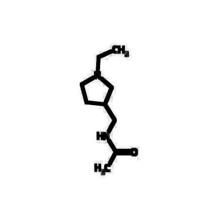 CCN1CCC(CNC(C)=O)C1